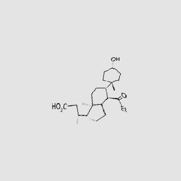 CCC(=O)[C@H]1C2CC[C@H]([C@H](C)CC(=O)O)[C@@]2(C)CCC1[C@]1(C)CC[C@H](O)CC1